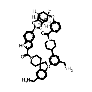 NCc1cccc(C2CCN(C(=O)c3cccc(O[C@H]4C[C@H]5CC[C@@H]4[C@H]4OB(c6ccc7[nH]c(C(=O)N8CCC9(CC8)COc8ccc(CN)cc89)cc7c6)O[C@@H]54)c3)CC2)c1